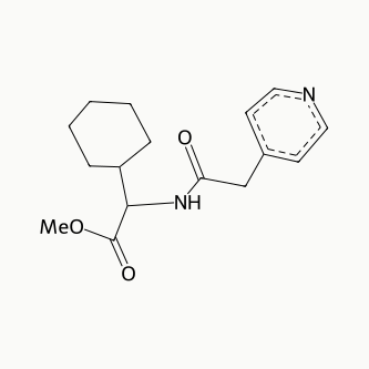 COC(=O)C(NC(=O)Cc1ccncc1)C1CCCCC1